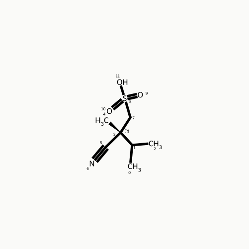 CC(C)[C@](C)(C#N)CS(=O)(=O)O